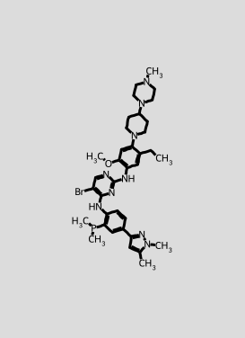 CCc1cc(Nc2ncc(Br)c(Nc3ccc(-c4cc(C)n(C)n4)cc3P(C)C)n2)c(OC)cc1N1CCC(N2CCN(C)CC2)CC1